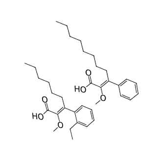 CCCCCCC(=C(OC)C(=O)O)c1ccccc1CC.CCCCCCCCC(=C(OC)C(=O)O)c1ccccc1